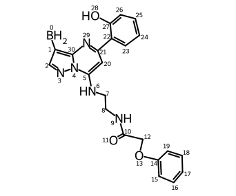 Bc1cnn2c(NCCNC(=O)COc3ccccc3)cc(-c3ccccc3O)nc12